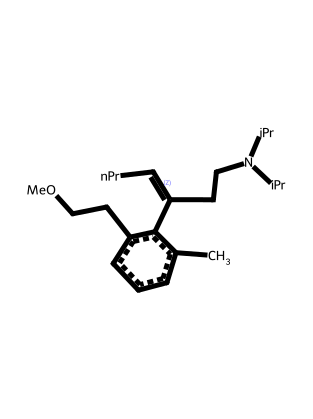 CCC/C=C(/CCN(C(C)C)C(C)C)c1c(C)cccc1CCOC